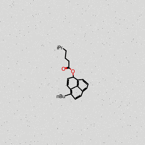 CCCCc1ccc2cccc3c2c1C=CC3OC(=O)CCCC(C)C